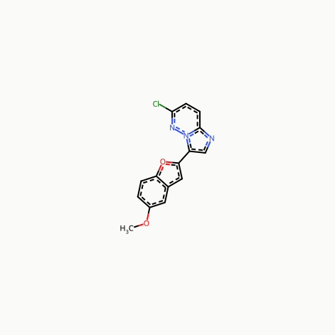 COc1ccc2oc(-c3cnc4ccc(Cl)nn34)cc2c1